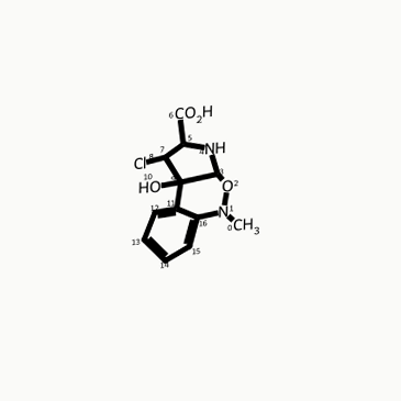 CN1OC2NC(C(=O)O)C(Cl)C2(O)c2ccccc21